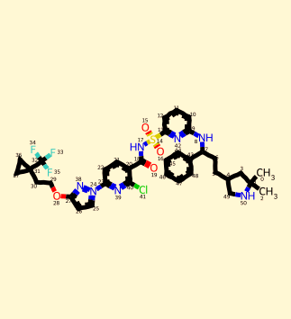 CC1(C)CC(CCC(Nc2cccc(S(=O)(=O)NC(=O)c3ccc(-n4ccc(OCCC5(C(F)(F)F)CC5)n4)nc3Cl)n2)c2ccccc2)CN1